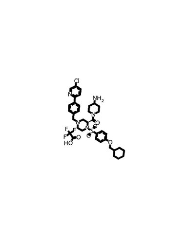 NC1CCN(C(=O)[C@@H]2CN(Cc3ccc(-c4ccc(Cl)cn4)cc3)CCN2S(=O)(=O)c2ccc(OCC3CCCCC3)cc2)CC1.O=C(O)C(F)(F)F